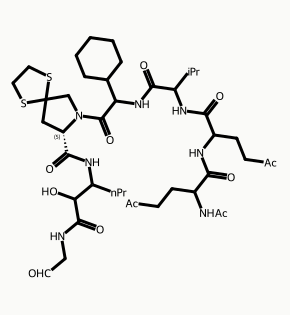 CCCC(NC(=O)[C@@H]1CC2(CN1C(=O)C(NC(=O)C(NC(=O)C(CCC(C)=O)NC(=O)C(CCC(C)=O)NC(C)=O)C(C)C)C1CCCCC1)SCCS2)C(O)C(=O)NCC=O